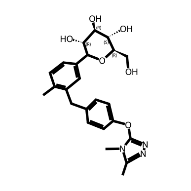 Cc1ccc(C2O[C@H](CO)[C@@H](O)[C@H](O)[C@H]2O)cc1Cc1ccc(Oc2nnc(C)n2C)cc1